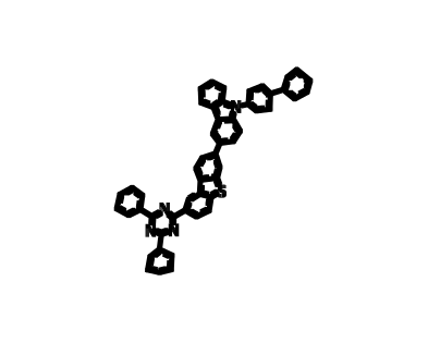 c1ccc(-c2ccc(-n3c4ccccc4c4cc(-c5ccc6c(c5)sc5ccc(-c7nc(-c8ccccc8)nc(-c8ccccc8)n7)cc56)ccc43)cc2)cc1